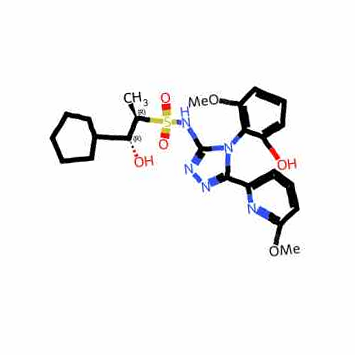 COC1=NC(c2nnc(NS(=O)(=O)[C@H](C)[C@H](O)C3CCCCC3)n2-c2c(O)cccc2OC)=C=C=C1